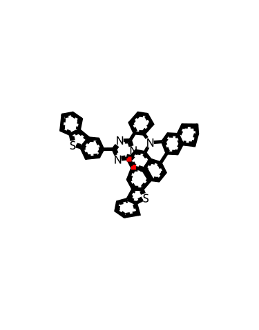 c1ccc(N2c3cc4ccccc4cc3-c3cccc4cccc2c34)c(-c2nc(-c3ccc4sc5ccccc5c4c3)nc(-c3ccc4sc5ccccc5c4c3)n2)c1